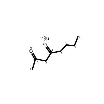 CCCCC(=O)CC(C)=O.[Ru]